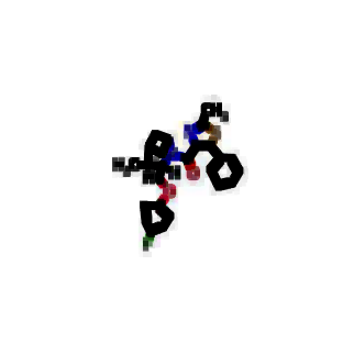 Cc1nc(C(=O)N2C3CC(C3)[C@H](C)[C@H]2COc2ccc(F)cc2)c(-c2ccccc2)s1